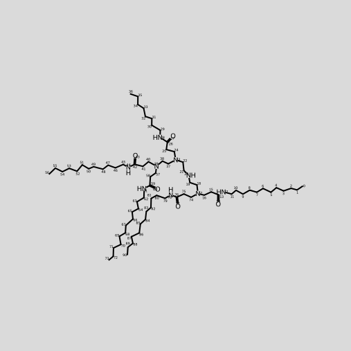 CCCCCCCCCCCCNC(=O)CCN(CCNCCN(CCC(=O)NCCCCCCCC)CCN(CCC(=O)NCCCCCCCCCCCC)CCC(=O)NCCCCCCCCCCCC)CCC(=O)NCCCCCCCCCCCC